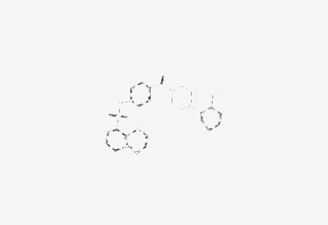 CCc1ccccc1N1CCN(C(=O)c2ccc(NS(=O)(=O)c3cccc4cccnc34)cc2)CC1